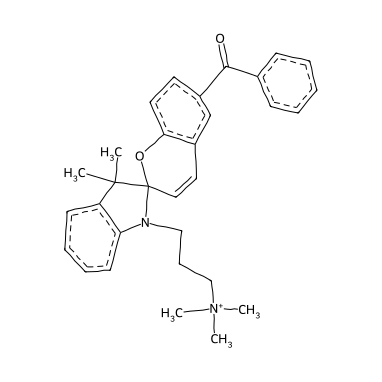 CC1(C)c2ccccc2N(CCC[N+](C)(C)C)C12C=Cc1cc(C(=O)c3ccccc3)ccc1O2